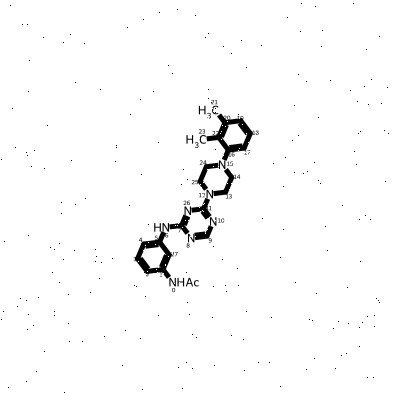 CC(=O)Nc1cccc(Nc2ncnc(N3CCN(c4cccc(C)c4C)CC3)n2)c1